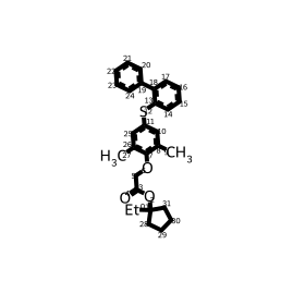 CCC1(OC(=O)COc2c(C)cc(Sc3ccccc3-c3ccccc3)cc2C)CCCC1